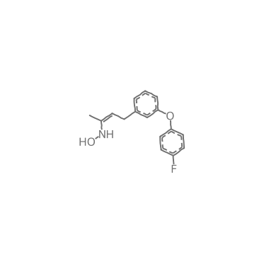 C/C(=C/Cc1cccc(Oc2ccc(F)cc2)c1)NO